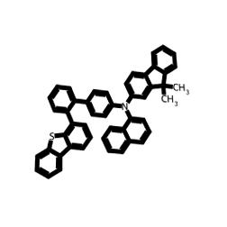 CC1(C)c2ccccc2-c2ccc(N(c3ccc(-c4ccccc4-c4cccc5c4sc4ccccc45)cc3)c3cccc4ccccc34)cc21